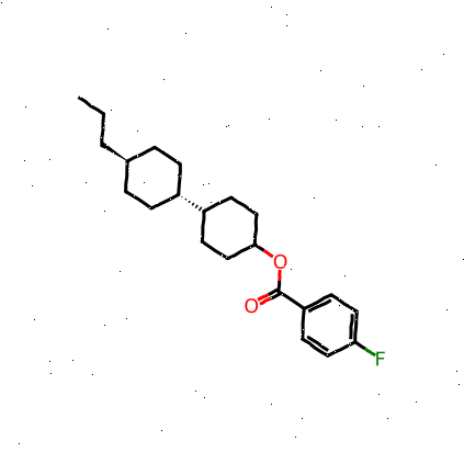 CCC[C@H]1CC[C@H](C2CCC(OC(=O)c3ccc(F)cc3)CC2)CC1